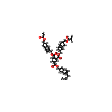 C=CC(=O)OCC1CC2C3CC(COC(=O)c4ccc(C(=O)OCC5CC6C7CC(COC(C)=O)C(C7)C6C5)cc4C(=O)OCC4CC5CC4C4CC(COC(=O)C(=C)C)CC54)C(C3)C2C1